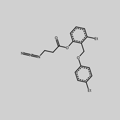 CCc1ccc(OCc2c(CC)cccc2OC(=O)CCN=[N+]=[N-])cc1